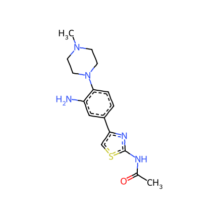 CC(=O)Nc1nc(-c2ccc(N3CCN(C)CC3)c(N)c2)cs1